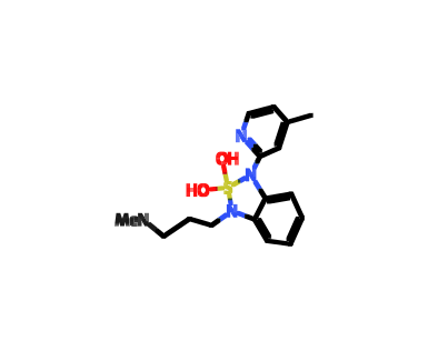 CNCCCN1c2ccccc2N(c2cc(C)ccn2)S1(O)O